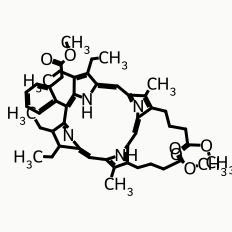 CCc1c(CC)c2[nH]c1cc1nc(cc3[nH]c(cc4nc(c2-c2ccccc2CC(=O)OC)C(CC)C4CC)c(C)c3CCCC(=O)OC)C(CCCC(=O)OC)=C1C